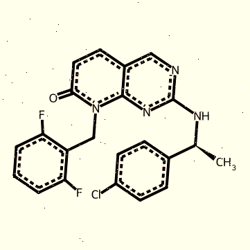 C[C@H](Nc1ncc2ccc(=O)n(Cc3c(F)cccc3F)c2n1)c1ccc(Cl)cc1